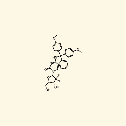 COc1ccc(C(Nc2ccn([C@@H]3O[C@H](CO)[C@@H](O)C3(F)F)c(=O)n2)(c2ccccc2)c2ccc(OC)cc2)cc1